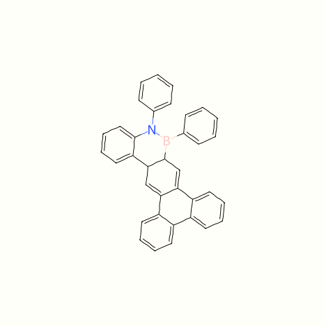 C1=c2c(c3ccccc3c3ccccc23)=CC2c3ccccc3N(c3ccccc3)B(c3ccccc3)C12